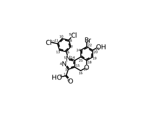 O=C(O)c1nn(-c2cc(Cl)cc(Cl)c2)c2c1COc1cc(O)c(Br)cc1-2